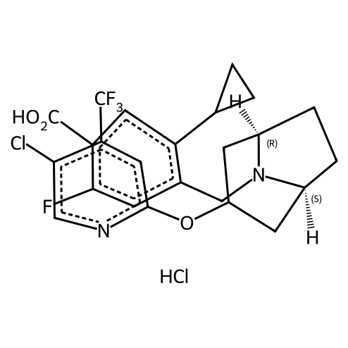 Cl.O=C(O)c1cc(C2CC2)c(CN2[C@@H]3CC[C@H]2CC(Oc2cc(C(F)(F)F)c(Cl)cn2)C3)cc1F